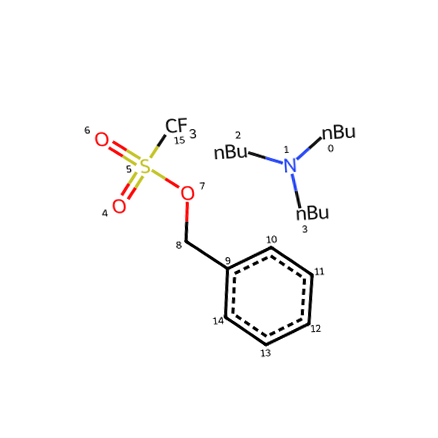 CCCCN(CCCC)CCCC.O=S(=O)(OCc1ccccc1)C(F)(F)F